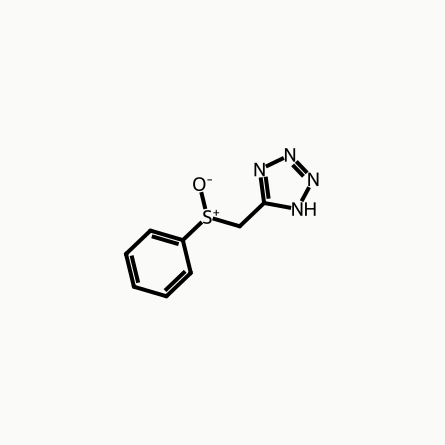 [O-][S+](Cc1nnn[nH]1)c1ccccc1